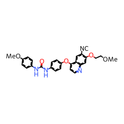 [C-]#[N+]c1cc2c(Oc3ccc(NC(=O)Nc4ccc(OC)cc4)cc3)ccnc2cc1OCCOC